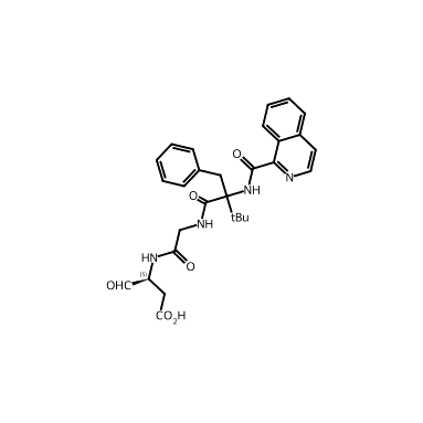 CC(C)(C)C(Cc1ccccc1)(NC(=O)c1nccc2ccccc12)C(=O)NCC(=O)N[C@H](C=O)CC(=O)O